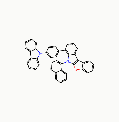 c1ccc2c(-n3c4oc5ccccc5c4c4cccc(-c5ccc(-n6c7ccccc7c7ccccc76)cc5)c43)cccc2c1